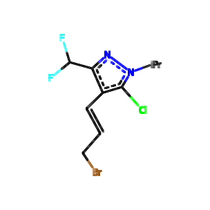 CC(C)n1nc(C(F)F)c(C=CCBr)c1Cl